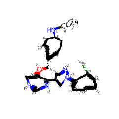 O=C(O)N[C@H]1CC[C@H](COc2cncnc2-c2cnn(-c3ccccc3F)c2)CC1